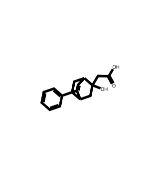 O=C(O)CC1(O)CC2CCC1C=C2c1ccccc1